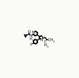 CC(C)Cn1cc(-c2ccnc(NC(=O)C3CC3)c2)c(-c2ccc(F)cc2)n1